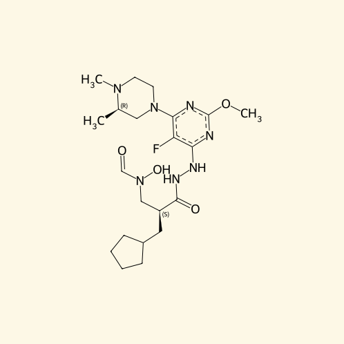 COc1nc(NNC(=O)[C@@H](CC2CCCC2)CN(O)C=O)c(F)c(N2CCN(C)[C@H](C)C2)n1